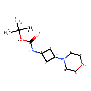 CC(C)(C)OC(=O)N[C@H]1C[C@@H](N2CCOCC2)C1